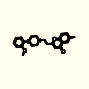 COc1ccccc1N1CCN(CCc2cc(=O)c3cc(C)ccc3o2)CC1